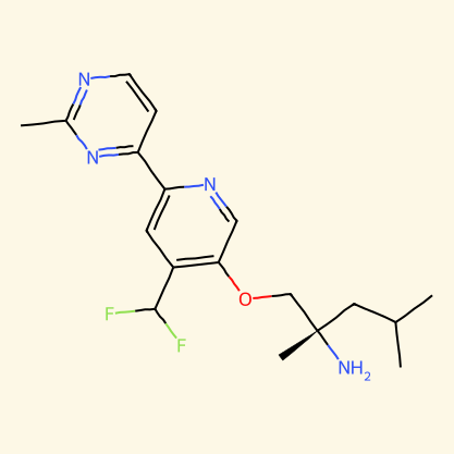 Cc1nccc(-c2cc(C(F)F)c(OC[C@@](C)(N)CC(C)C)cn2)n1